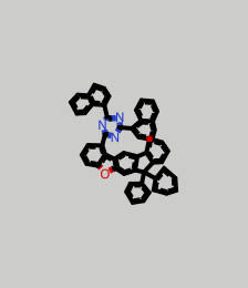 c1ccc(C2(c3ccccc3)c3ccccc3-c3cc4c(cc32)oc2cccc(-c3nc(-c5cccc6ccccc56)nc(-c5cccc6ccccc56)n3)c24)cc1